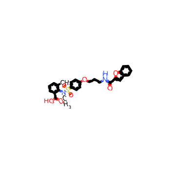 Cc1cccc(C(=O)O)c1N(C)S(=O)(=O)c1ccc(OCCCNC(=O)c2cc3ccccc3o2)cc1